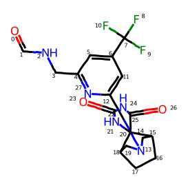 O=CNCc1cc(C(F)(F)F)cc(N2CC3CCC(C2)C32NC(=O)NC2=O)n1